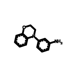 Nc1cccc(N2CCOc3ccccc32)c1